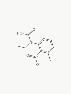 CCN(C(=O)O)c1cccc(C)c1[N+](=O)[O-]